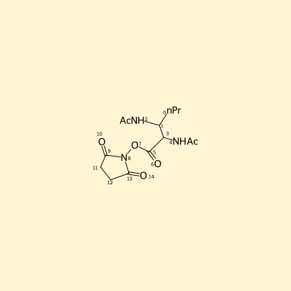 CCCC(NC(C)=O)C(NC(C)=O)C(=O)ON1C(=O)CCC1=O